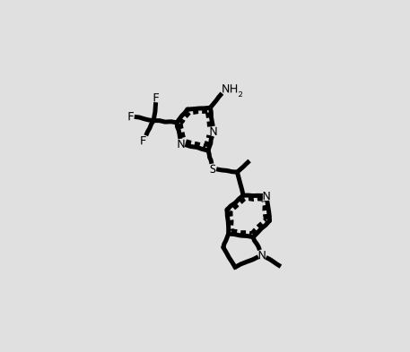 CC(Sc1nc(N)cc(C(F)(F)F)n1)c1cc2c(cn1)N(C)CC2